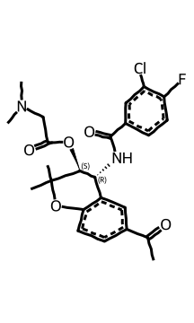 CC(=O)c1ccc2c(c1)[C@@H](NC(=O)c1ccc(F)c(Cl)c1)[C@H](OC(=O)CN(C)C)C(C)(C)O2